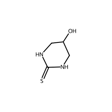 OC1CNC(=S)NC1